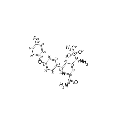 CS(=O)(=O)C(N)c1cc(C(N)=O)nc(-c2ccc(Oc3ccc(F)cc3)cc2)c1